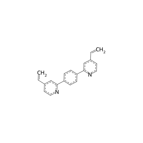 C=Cc1ccnc(-c2ccc(-c3cc(C=C)ccn3)cc2)c1